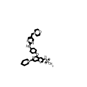 CS(=O)(=O)Nc1cnc2cc(N3CCCCC3)nc(OC3CCC(Nc4ncc(CN5CCOCC5)cn4)CC3)c2c1